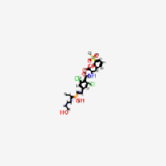 CC/C(=C\C=C/CO)P(O)/C=C/c1cc(Cl)c(C(=O)NC(Cc2cccc(S(C)(=O)=O)c2)C(=O)O)c(Cl)c1